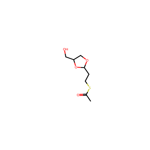 CC(=O)SCCC1OCC(CO)O1